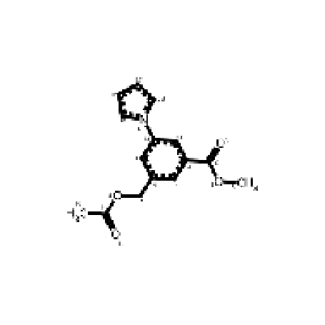 COC(=O)c1cc(COC(C)=O)cc(-n2cccc2)c1